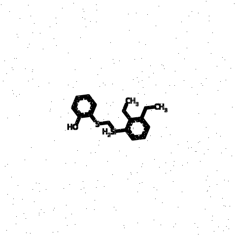 CCc1cccc([SiH2]CSc2ccccc2O)c1CC